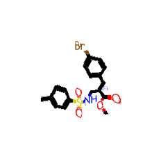 COC(=O)/C(=C/c1ccc(Br)cc1)CNS(=O)(=O)c1ccc(C)cc1